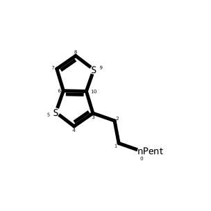 CCCCCCCc1csc2ccsc12